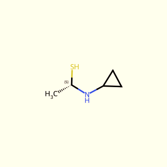 C[C@H](S)NC1CC1